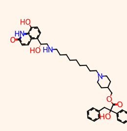 O=C(OCC1CCN(CCCCCCCCCNC[C@H](O)c2ccc(O)c3[nH]c(=O)ccc23)CC1)C(O)(Cc1ccccc1)c1ccccc1